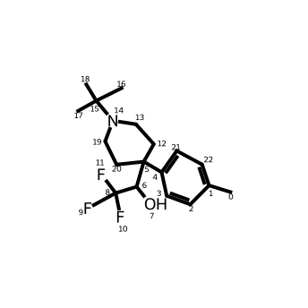 Cc1ccc(C2(C(O)C(F)(F)F)CCN(C(C)(C)C)CC2)cc1